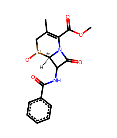 COC(=O)C1=C(C)C[S+]([O-])[C@@H]2C(NC(=O)c3ccccc3)C(=O)N12